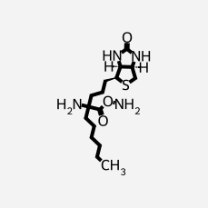 CCCCCCC(N)(CCC[C@@H]1SC[C@@H]2NC(=O)N[C@@H]21)C(=O)ON